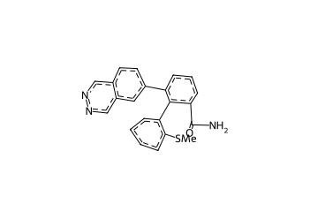 CSc1ccccc1-c1c(C(N)=O)cccc1-c1ccc2cnncc2c1